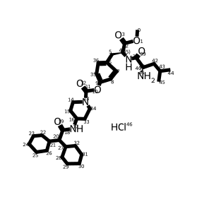 COC(=O)[C@H](Cc1ccc(OC(=O)N2CCC(NC(=O)C(C3CCCCC3)C3CCCCC3)CC2)cc1)NC(=O)[C@@H](N)CC(C)C.Cl